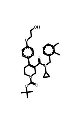 Cc1cccc(CN(C(=O)C2=C(c3ccc(OCCO)cc3)CCN(C(=O)OC(C)(C)C)C2)C2CC2)c1C